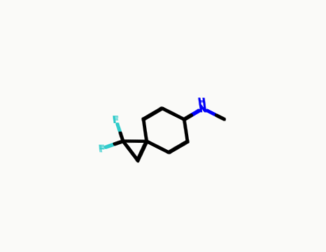 CNC1CCC2(CC1)CC2(F)F